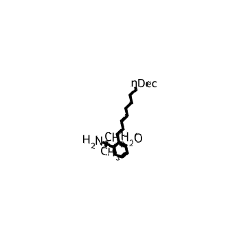 CCCCCCCCCCCCCCCCCCc1ccccc1C(C)(C)N.O